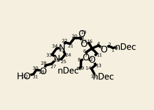 CCCCCCCCCCCCOCC(COCCCCCCCCCCCC)(COCCCCCCCCCCCC)COC(=O)CCCN1CCN(CCOCCO)CC1